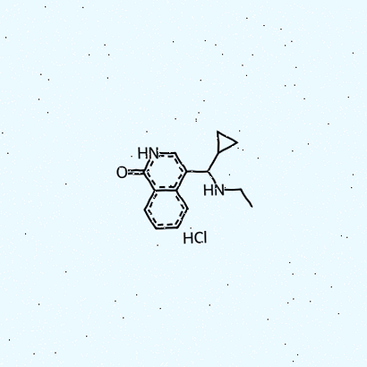 CCNC(c1c[nH]c(=O)c2ccccc12)C1CC1.Cl